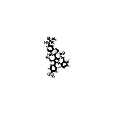 CCOC(=O)N(Cc1c(F)cccc1F)c1sc(-c2ccc([N+](=O)[O-])cc2)c(CN(C)C)c1C(=O)Nc1ccc(NS(=O)(=O)CC)nc1